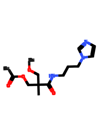 CCC(C)OCC(C)(COC(=O)C(C)CC)C(=O)NCCCn1ccnc1